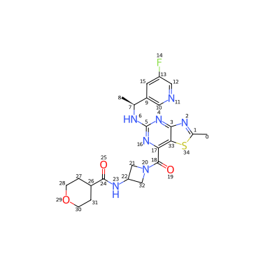 Cc1nc2nc(N[C@@H](C)c3cncc(F)c3)nc(C(=O)N3CC(NC(=O)C4CCOCC4)C3)c2s1